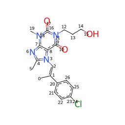 C/C(=C\n1c(C)nc2c1c(=O)n(CCCO)c(=O)n2C)c1ccc(Cl)cc1